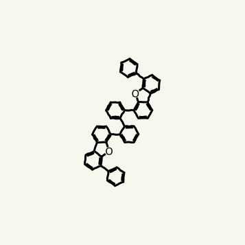 c1ccc(-c2cccc3c2oc2c(-c4ccccc4-c4ccccc4-c4cccc5c4oc4c(-c6ccccc6)cccc45)cccc23)cc1